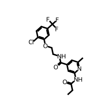 CCC(=O)Nc1cc(C(=O)NCCOc2cc(C(F)(F)F)ccc2Cl)cc(C)n1